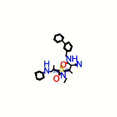 CCn1c(=O)/c(=C(/C)CNc2ccccc2)s/c1=C(/C)C(C#N)C(=O)NCc1cccc(-c2ccccc2)c1